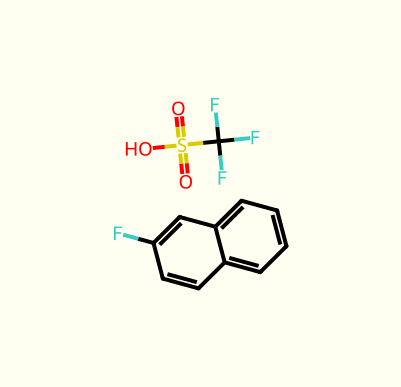 Fc1ccc2ccccc2c1.O=S(=O)(O)C(F)(F)F